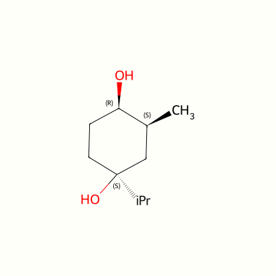 CC(C)[C@]1(O)CC[C@@H](O)[C@@H](C)C1